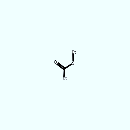 CCSC(=O)CC